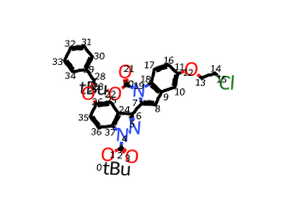 CC(C)(C)OC(=O)n1nc(-c2cc3cc(OCCCl)ccc3n2C(=O)OC(C)(C)C)c2cc(OCc3ccccc3)ccc21